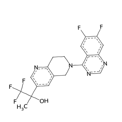 CC(O)(c1cnc2c(c1)CN(c1ncnc3cc(F)c(F)cc13)CC2)C(F)(F)F